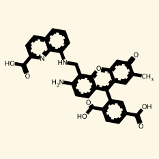 Cc1cc2c(-c3cc(C(=O)O)ccc3C(=O)O)c3ccc(N)c(CNc4cccc5ccc(C(=O)O)nc45)c3oc-2cc1=O